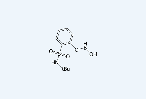 CC(C)(C)NS(=O)(=O)c1ccccc1OBO